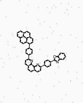 c1cc2ccc3ccc(-c4ccc(-c5ccc6ccc7ccc(-c8ccc(-c9nc%10ccccc%10o9)cc8)nc7c6n5)cc4)c4ccc(c1)c2c34